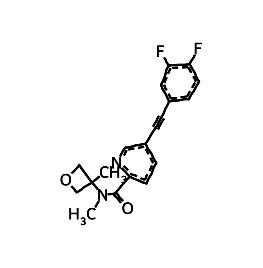 CN(C(=O)c1ccc(C#Cc2ccc(F)c(F)c2)cn1)C1(C)COC1